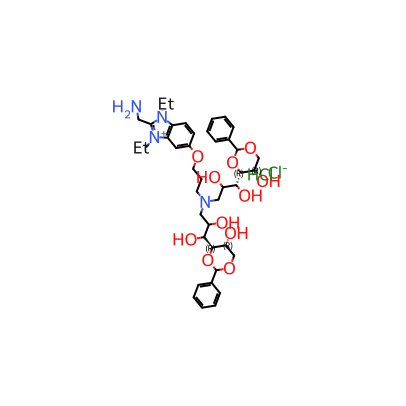 CCn1c(CN)[n+](CC)c2cc(OCCCN(CC(O)C(O)[C@@H]3OC(c4ccccc4)OC[C@H]3O)CC(O)C(O)[C@@H]3OC(c4ccccc4)OC[C@H]3O)ccc21.Cl.[Cl-]